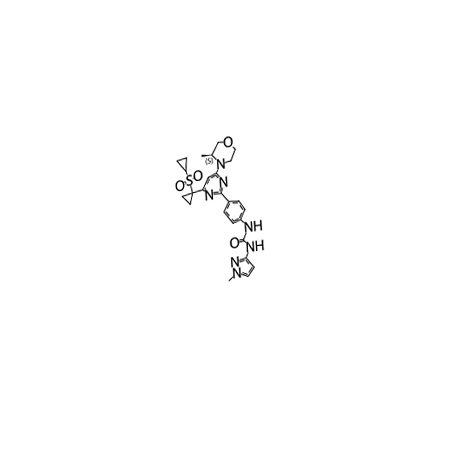 C[C@H]1COCCN1c1cc(C2(S(=O)(=O)C3CC3)CC2)nc(-c2ccc(NC(=O)Nc3ccn(C)n3)cc2)n1